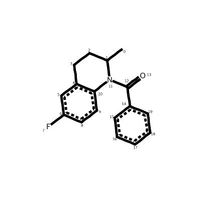 CC1CCc2cc(F)ccc2N1C(=O)c1ccccc1